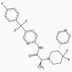 C[C@@H](C(=O)Nc1ccc(C(F)(F)c2ccc(F)cc2)cn1)N1CCC(F)(F)[C@@H](c2ccncc2)C1